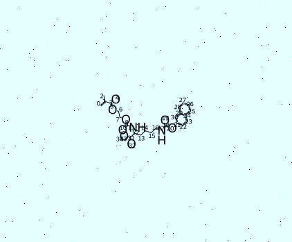 C=C(C)C(=O)OCCOC(=O)NC(CCCCNC(=O)Oc1ccc2ccccc2c1)C(=O)OC